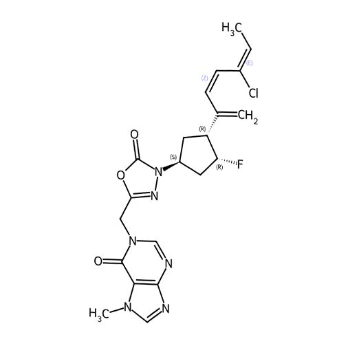 C=C(/C=C\C(Cl)=C/C)[C@H]1C[C@H](n2nc(Cn3cnc4ncn(C)c4c3=O)oc2=O)C[C@H]1F